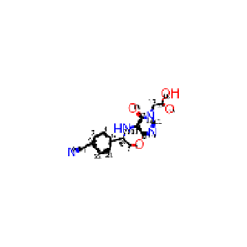 N#Cc1ccc([C@@H]2COc3ncn(CC(=O)O)c(=O)c3N2)cc1